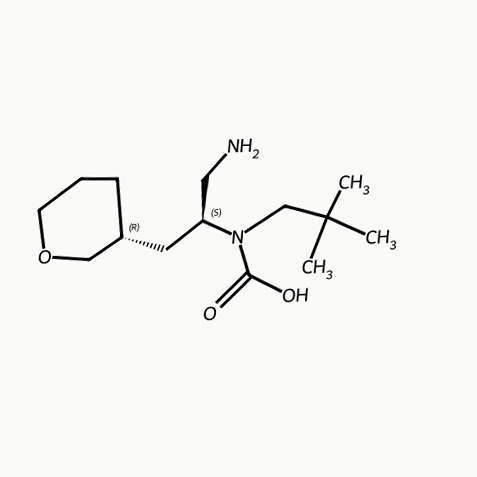 CC(C)(C)CN(C(=O)O)[C@H](CN)C[C@H]1CCCOC1